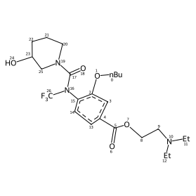 CCCCOc1cc(C(=O)OCCN(CC)CC)ccc1N(C(=O)N1CCCC(O)C1)C(F)(F)F